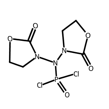 O=C1OCCN1N(N1CCOC1=O)P(=O)(Cl)Cl